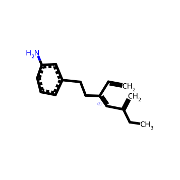 C=C/C(=C\C(=C)CC)CCc1cccc(N)c1